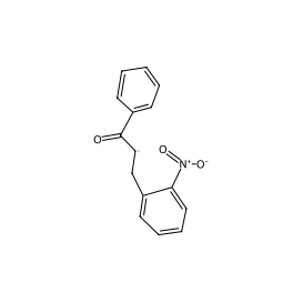 O=C([CH]Cc1ccccc1[N+](=O)[O-])c1ccccc1